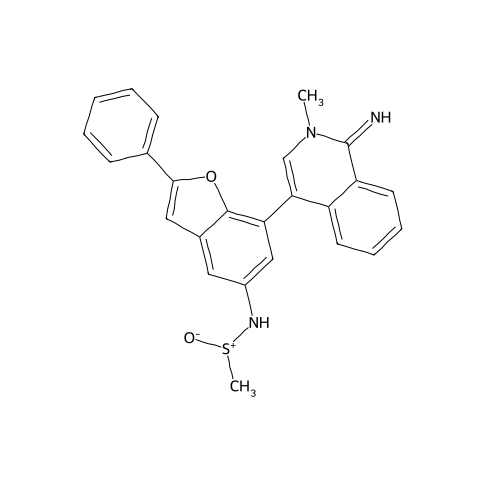 Cn1cc(-c2cc(N[S+](C)[O-])cc3cc(-c4ccccc4)oc23)c2ccccc2c1=N